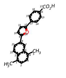 Cc1ccc(C)c2cc(-c3ccc(-c4ccc(C(=O)O)cc4)o3)ccc12